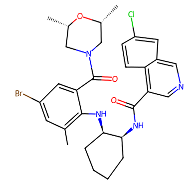 Cc1cc(Br)cc(C(=O)N2C[C@@H](C)O[C@@H](C)C2)c1N[C@@H]1CCCC[C@@H]1NC(=O)c1cncc2cc(Cl)ccc12